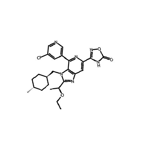 CCOC(C)c1nc2cc(-c3noc(=O)[nH]3)nc(-c3cncc(Cl)c3)c2n1C[C@H]1CC[C@H](C)CC1